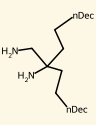 CCCCCCCCCCCCC(N)(CN)CCCCCCCCCCCC